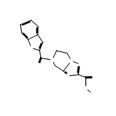 O=C(NO)c1nc2n(n1)CCN(C(=O)c1cc3ccccc3s1)C2